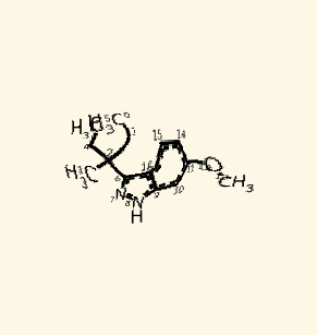 CCC(C)(CC)c1n[nH]c2cc(OC)ccc12